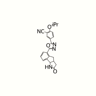 CC(C)Oc1ccc(-c2nnc(-c3cccc4c3CC3CC(=O)NC43)o2)cc1C#N